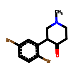 CN1CCC(=O)C(c2cc(Br)ccc2Br)C1